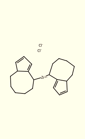 C1=CC2CCCCC[CH]([Zr+2][CH]3CCCCCC4C=CC=C43)C2=C1.[Cl-].[Cl-]